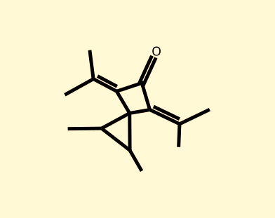 CC(C)=C1C(=O)C(=C(C)C)C12C(C)C2C